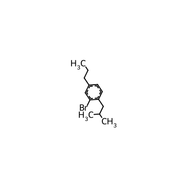 CCCc1ccc(CC(C)C)c(Br)c1